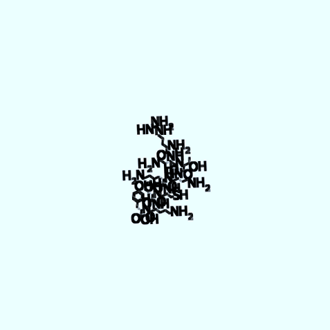 C[C@@H](O)[C@H](NC(=O)[C@H](CCN)NC(=O)[C@@H](N)CCCNC(=N)N)C(=O)N[C@H](CCN)C(=O)N[C@@H](CCCCN)C(=O)N[C@@H](CS)C(=O)N[C@@H](CO)C(=O)N[C@@H](CCCN)C(=O)N[C@@H](Cc1ccc(O)cc1)C(=O)O